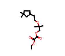 CCOC(=O)C(=O)OCC(C)(C)OCCC1=CCC(C)(C)C1